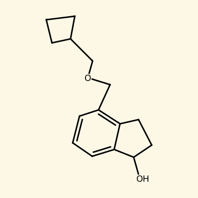 OC1CCc2c(COCC3CCC3)cccc21